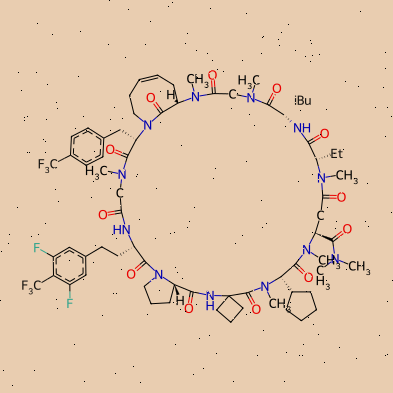 CC[C@H](C)[C@@H]1NC(=O)[C@H](CC)N(C)C(=O)C[C@@H](C(=O)N(C)C)N(C)C(=O)[C@H](C2CCCC2)N(C)C(=O)C2(CCC2)NC(=O)[C@@H]2CCCN2C(=O)[C@H](CCc2cc(F)c(C(F)(F)F)c(F)c2)NC(=O)CN(C)C(=O)[C@H](Cc2ccc(C(F)(F)F)cc2)N2CC/C=C\C[C@@H](C2=O)N(C)C(=O)CN(C)C1=O